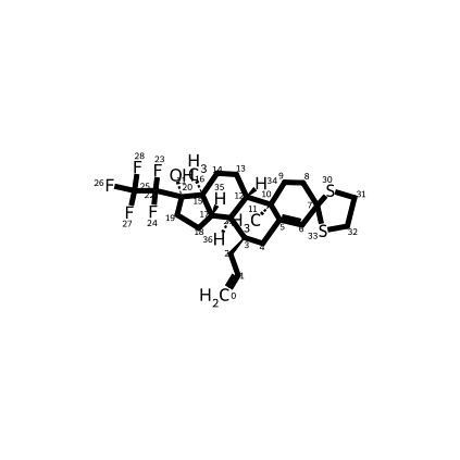 C=CC[C@@H]1CC2=CC3(CC[C@]2(C)[C@H]2CC[C@@]4(C)[C@@H](CC[C@@]4(O)C(F)(F)C(F)(F)F)[C@H]12)SCCS3